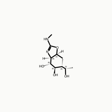 CNC1=N[C@@H]2[C@@H](O)[C@H](O)[C@@H]([C@H](C)O)C[C@@H]2O1